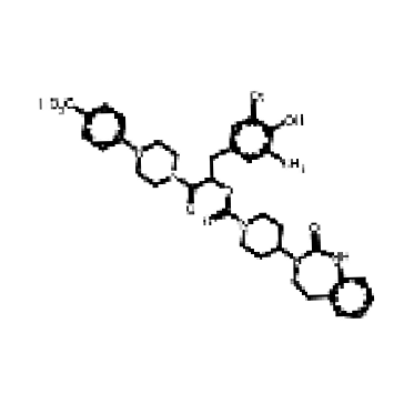 CCc1cc(C[C@@H](OC(=O)N2CCC(N3CCc4ccccc4NC3=O)CC2)C(=O)N2CCN(c3ccc(C(=O)O)cc3)CC2)cc(C)c1O